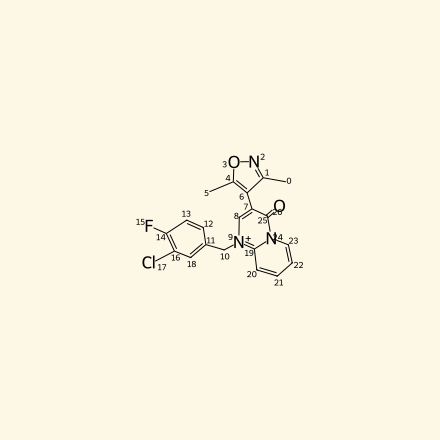 Cc1noc(C)c1-c1c[n+](Cc2ccc(F)c(Cl)c2)c2ccccn2c1=O